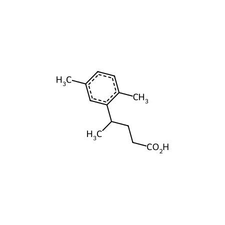 Cc1ccc(C)c(C(C)CCC(=O)O)c1